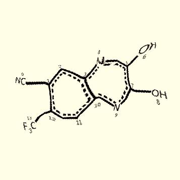 N#Cc1cc2nc(O)c(O)nc2cc1C(F)(F)F